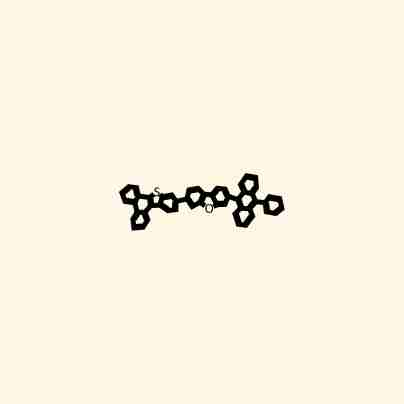 c1ccc(-c2c3ccccc3c(-c3ccc4c(c3)oc3cc(-c5ccc6c(c5)sc5c7ccccc7c7ccccc7c65)ccc34)c3ccccc23)cc1